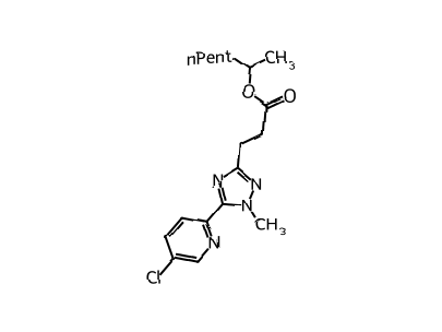 CCCCCC(C)OC(=O)CCc1nc(-c2ccc(Cl)cn2)n(C)n1